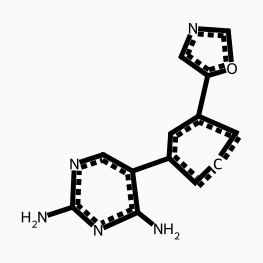 Nc1ncc(-c2cccc(-c3cnco3)c2)c(N)n1